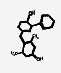 CC1CC(O)CC(C)C1CC1=NC(C2CCCCC2)C(O)CC1